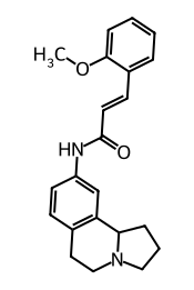 COc1ccccc1C=CC(=O)Nc1ccc2c(c1)C1CCCN1CC2